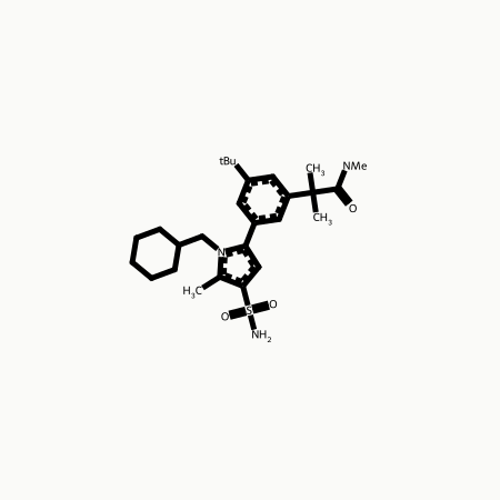 CNC(=O)C(C)(C)c1cc(-c2cc(S(N)(=O)=O)c(C)n2CC2CCCCC2)cc(C(C)(C)C)c1